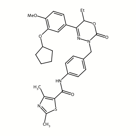 CCC1OC(=O)N(Cc2ccc(NC(=O)c3sc(C)nc3C)cc2)N=C1c1ccc(OC)c(OC2CCCC2)c1